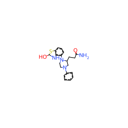 NC(=O)CCC1CN(c2ccccc2)CCN1c1cccc2c1NC(O)S2